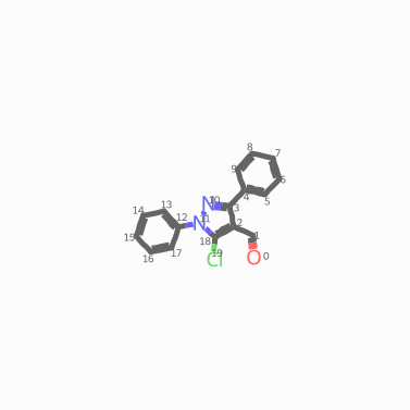 O=Cc1c(-c2ccccc2)nn(-c2ccccc2)c1Cl